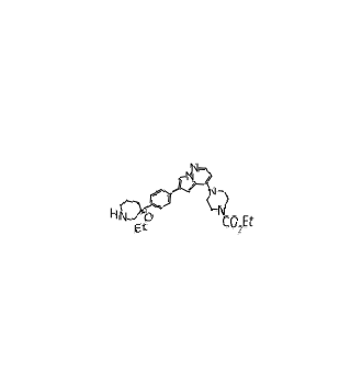 CCOC(=O)N1CCN(c2ccnn3cc(-c4ccc([C@@]5(OCC)CCCNC5)cc4)cc23)CC1